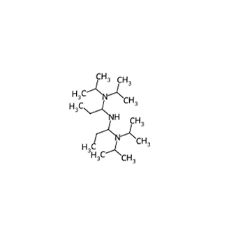 CCC(NC(CC)N(C(C)C)C(C)C)N(C(C)C)C(C)C